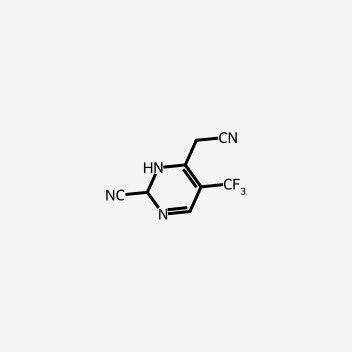 N#CCC1=C(C(F)(F)F)C=NC(C#N)N1